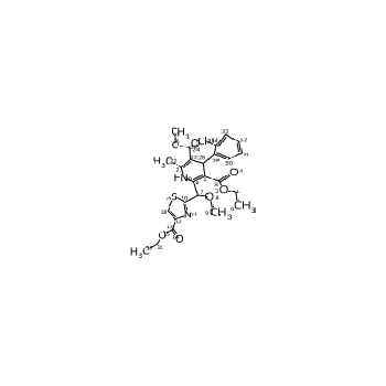 CCOC(=O)C1=C(C(OC)c2nc(C(=O)OCC)cs2)NC(C)=C(C(=O)OC)C1c1ccccc1Cl